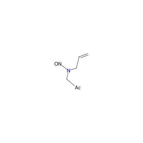 C=CCN(CC(C)=O)N=O